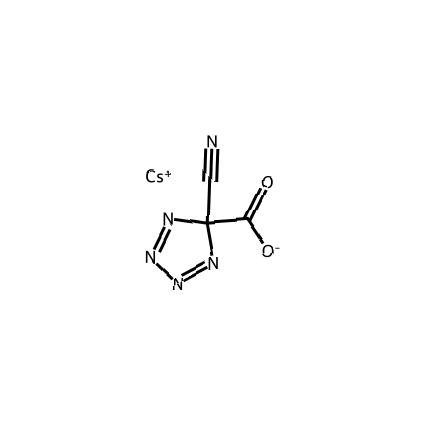 N#CC1(C(=O)[O-])N=NN=N1.[Cs+]